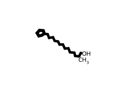 CC(CO)CCCCCCCCCCCCc1ccccc1